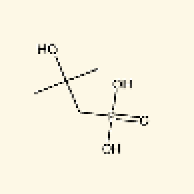 CC(C)(O)CP(=O)(O)O